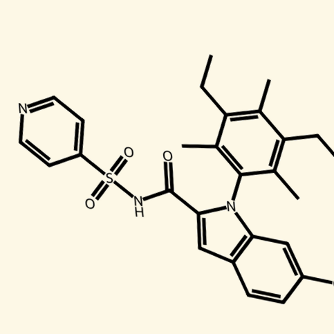 CCc1c(C)c(CC)c(C)c(-n2c(C(=O)NS(=O)(=O)c3ccncc3)cc3ccc(Cl)cc32)c1C